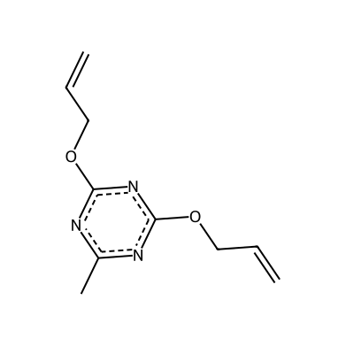 C=CCOc1nc(C)nc(OCC=C)n1